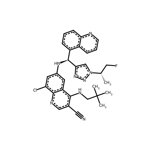 C[C@@H](CF)n1cc([C@@H](Nc2cc(Cl)c3ncc(C#N)c(NCC(C)(C)C)c3c2)c2cccc3ncccc23)nn1